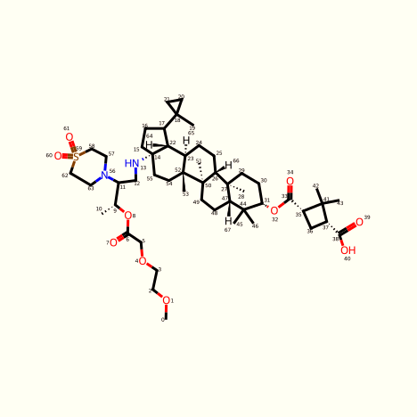 COCCOCC(=O)O[C@H](C)C(CN[C@]12CCC(C3(C)CC3)[C@@H]1[C@H]1CC[C@@H]3[C@@]4(C)CC[C@H](OC(=O)[C@H]5C[C@@H](C(=O)O)C5(C)C)C(C)(C)[C@@H]4CC[C@@]3(C)[C@]1(C)CC2)N1CCS(=O)(=O)CC1